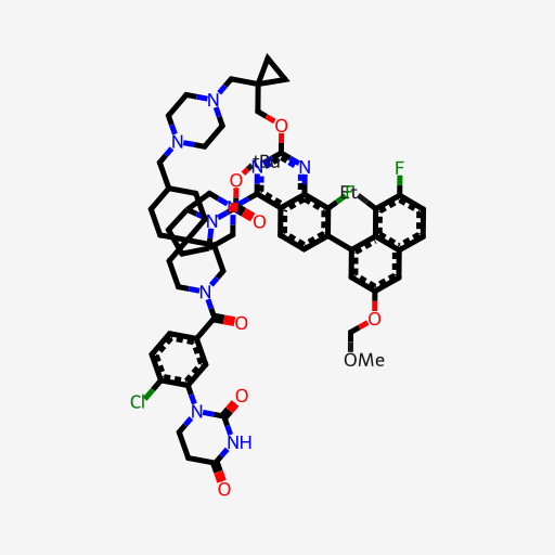 CCc1c(F)ccc2cc(OCOC)cc(-c3ccc4c(N5CC6CCC(C5)N6C(=O)OC(C)(C)C)nc(OCC5(CN6CCN(CC7CCC8(CC7)CCN(C(=O)c7ccc(Cl)c(N9CCC(=O)NC9=O)c7)CC8)CC6)CC5)nc4c3F)c12